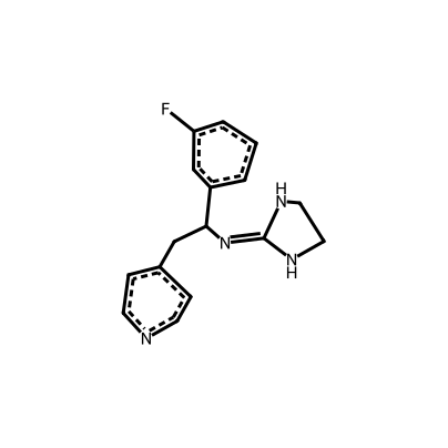 Fc1cccc(C(Cc2ccncc2)N=C2NCCN2)c1